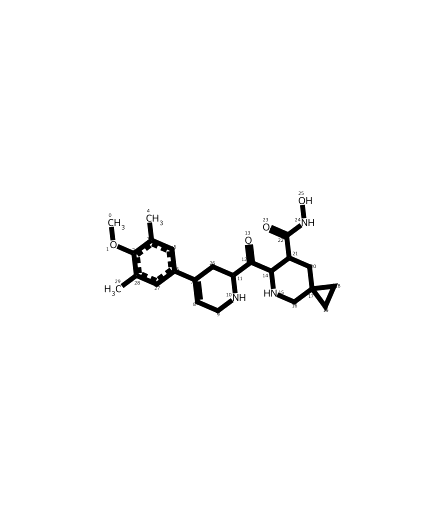 COc1c(C)cc(C2=CCNC(C(=O)C3NCC4(CC4)CC3C(=O)NO)C2)cc1C